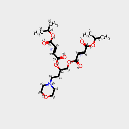 CC(C)OC(=O)/C=C/C(=O)OCC(CCN1CCOCC1)OC(=O)/C=C/C(=O)OC(C)C